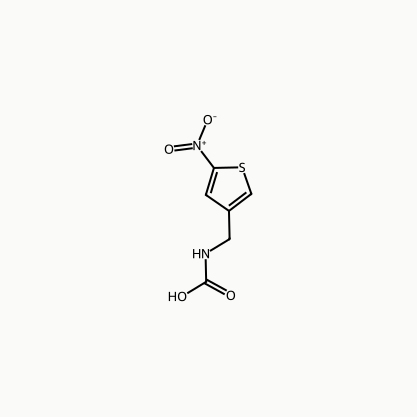 O=C(O)NCc1csc([N+](=O)[O-])c1